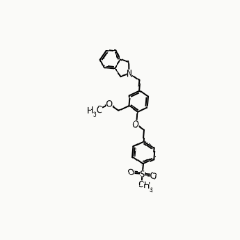 COCc1cc(CN2Cc3ccccc3C2)ccc1OCc1ccc(S(C)(=O)=O)cc1